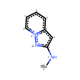 CC(C)(C)Nc1cc2ccccn2n1